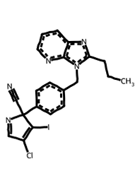 CCCc1nc2cccnc2n1Cc1ccc(C2(C#N)N=CC(Cl)=C2I)cc1